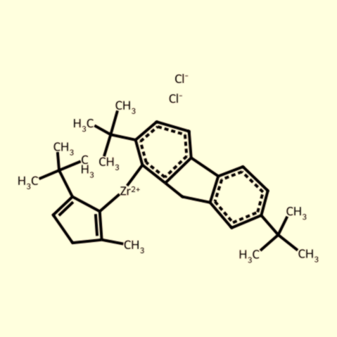 CC1=[C]([Zr+2][c]2c(C(C)(C)C)ccc3c2Cc2cc(C(C)(C)C)ccc2-3)C(C(C)(C)C)=CC1.[Cl-].[Cl-]